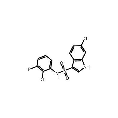 O=S(=O)(Nc1cccc(F)c1Cl)c1c[nH]c2cc(Cl)ccc12